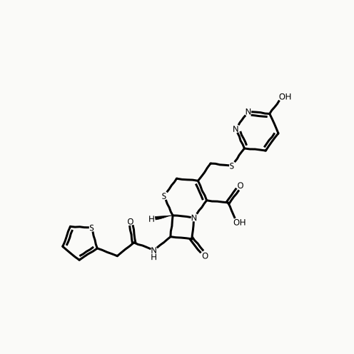 O=C(Cc1cccs1)NC1C(=O)N2C(C(=O)O)=C(CSc3ccc(O)nn3)CS[C@@H]12